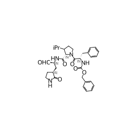 CC(C)C1CCN(C(=O)[C@H](Cc2ccccc2)NC(=O)OCc2ccccc2)[C@@H]1C(=O)N[C@H](C=O)C[C@@H]1CCNC1=O